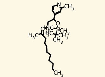 CCCCCCCCCC(C)ONCC(O[Si](C)(C)C(C)(C)C)c1ccnc(C)c1